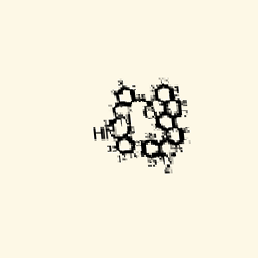 C1=NC(Cc2ccccc2)=CNc2ccccc21.CC(=O)[C@@H]1CCC=c2ccc3c(c21)CC=c1c(-c2ccccc2N(C)C)cccc1=3